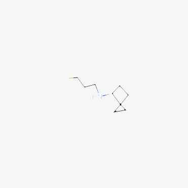 SCCCN[C@H]1CCC12CC2